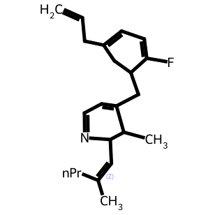 C=CCC1=CC=C(F)C(CC2=CC=NC(/C=C(/C)CCC)C2C)C1